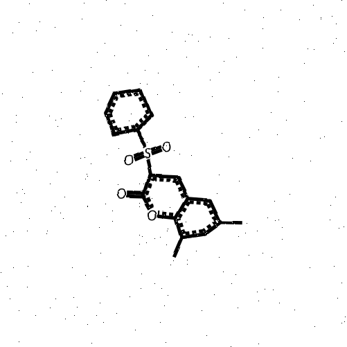 Cc1cc(C)c2oc(=O)c(S(=O)(=O)c3ccccc3)cc2c1